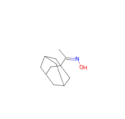 C/C(=N/O)C12CC3CC(CC(C3)C1)C2